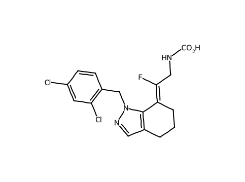 O=C(O)NC/C(F)=C1\CCCc2cnn(Cc3ccc(Cl)cc3Cl)c21